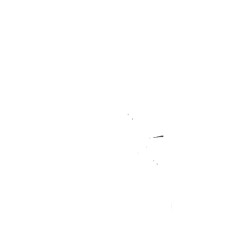 CC#CC(O)(C(=O)N[C@H]1C[N+]2(CCCOc3cccc4ccccc34)CCC1CC2)c1ccco1.[Cl-]